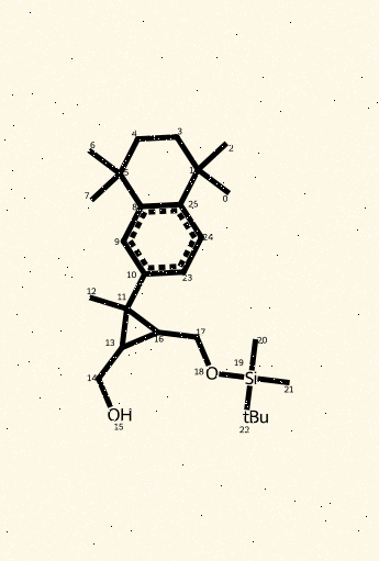 CC1(C)CCC(C)(C)c2cc(C3(C)C(CO)C3CO[Si](C)(C)C(C)(C)C)ccc21